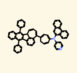 C1=CC2c3c(cccc3-c3c2c(-c2ccccc2)c2ccccc2c3-c2ccccc2)C(C2=CC=C(N(c3ccncc3)c3cc4ccccc4c4ccccc34)C=CC2)=C1